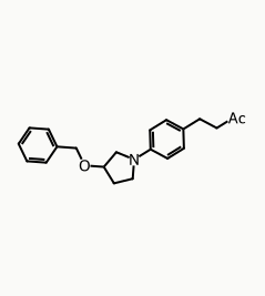 CC(=O)CCc1ccc(N2CCC(OCc3ccccc3)C2)cc1